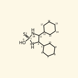 OP1(=S)NC(C2CCCCC2)C(C2CCCCC2)N1